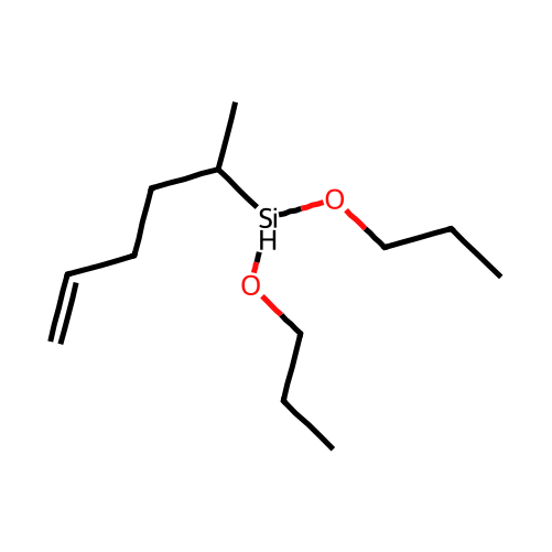 C=CCCC(C)[SiH](OCCC)OCCC